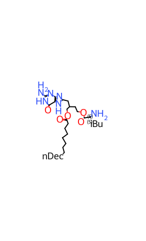 CCCCCCCCCCCCCCCCCC(=O)OCC(CCOC(=O)[C@@H](N)[C@@H](C)CC)Cc1nc2nc(N)[nH]c(=O)c2[nH]1